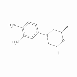 C[C@@H]1CN(c2ccc([N+](=O)[O-])c(N)c2)C[C@@H](C)O1